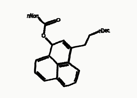 CCCCCCCCCCCCC1=CC(OC(=O)CCCCCCCCC)c2cccc3cccc1c23